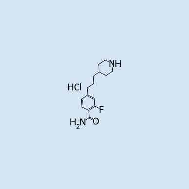 Cl.NC(=O)c1ccc(CCCC2CCNCC2)cc1F